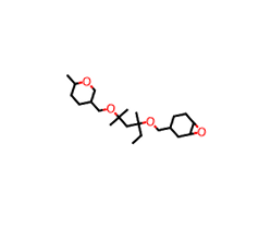 CCC(C)(CC(C)(C)OCC1CCC(C)OC1)OCC1CCC2OC2C1